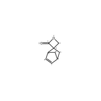 O=C1OCC12CC1C=CC2C1